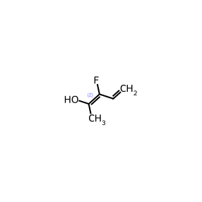 C=C/C(F)=C(\C)O